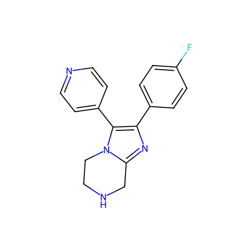 Fc1ccc(-c2nc3n(c2-c2ccncc2)CCNC3)cc1